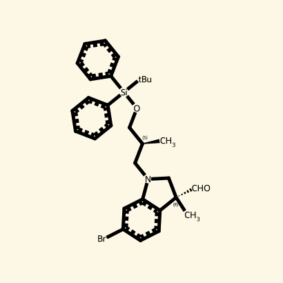 C[C@H](CO[Si](c1ccccc1)(c1ccccc1)C(C)(C)C)CN1C[C@](C)(C=O)c2ccc(Br)cc21